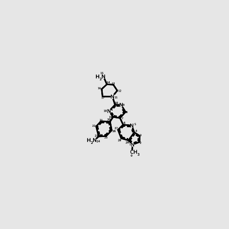 Cn1ccc2nc(-c3cnc(N4CCC(N)CC4)nc3-c3ccc(N)cc3)ccc21